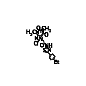 CCc1ccc(-c2csc(NC(=O)Cn3c(Cl)nc4c3c(=O)n(C)c(=O)n4C)n2)cc1